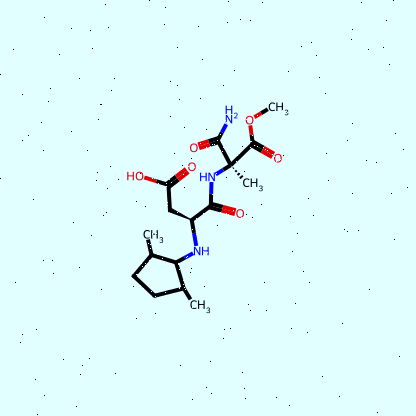 COC(=O)[C@@](C)(NC(=O)[C@H](CC(=O)O)NC1C(C)CCC1C)C(N)=O